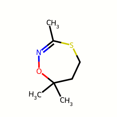 CC1=NOC(C)(C)CCS1